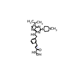 CC(C)n1cnc2c(NCc3cccc(/C=C/C(=O)NO)c3)nc(N3CCN(C)CC3)nc21